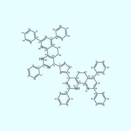 c1ccc(C2=NC(c3csc(C4N=C(c5ccccc5)NC5=C4CCc4c(-c6ccccc6)cc(-c6ccccc6)nc45)c3)C3=C(N2)c2nc(-c4ccccc4)cc(-c4ccccc4)c2CC3)cc1